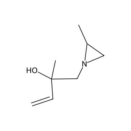 C=CC(C)(O)CN1CC1C